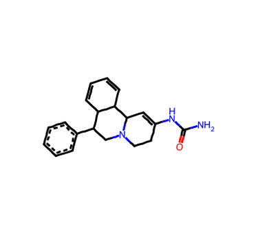 NC(=O)NC1=CC2C3C=CC=CC3C(c3ccccc3)CN2CC1